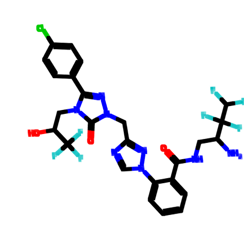 NC(CNC(=O)c1ccccc1-n1cnc(Cn2nc(-c3ccc(Cl)cc3)n(CC(O)C(F)(F)F)c2=O)n1)C(F)(F)C(F)F